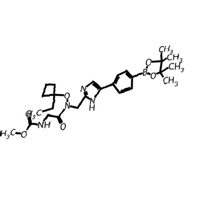 CCC1(ON(Cc2ncc(-c3ccc(B4OC(C)(C)C(C)(C)O4)cc3)[nH]2)C(=O)CNC(=O)OC)CCC1